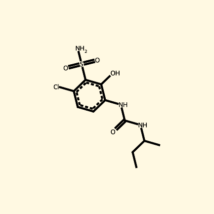 CCC(C)NC(=O)Nc1ccc(Cl)c(S(N)(=O)=O)c1O